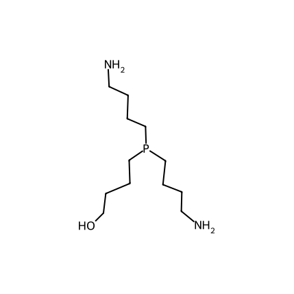 NCCCCP(CCCCN)CCCCO